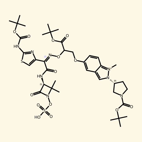 C[n+]1c2ccc(OCC(O/N=C(\C(=O)N[C@@H]3C(=O)N(OS(=O)(=O)O)C3(C)C)c3csc(NC(=O)OC(C)(C)C)n3)C(=O)OC(C)(C)C)cc2cn1[C@@H]1CCN(C(=O)OC(C)(C)C)C1